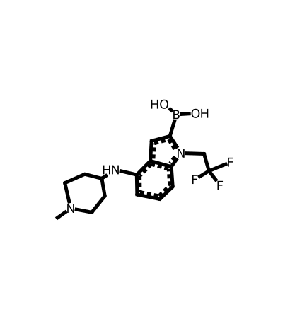 CN1CCC(Nc2cccc3c2cc(B(O)O)n3CC(F)(F)F)CC1